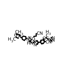 CC(Cn1cnnn1)Oc1cc(-c2cnc(Nc3cn(C4CCC(N5C[C@@H](C)O[C@@H](C)C5)CC4)nc3OCCCC#N)nc2)ccc1C#N